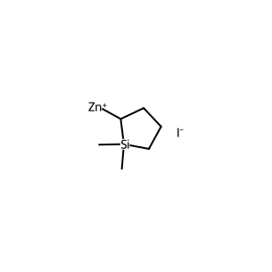 C[Si]1(C)CCC[CH]1[Zn+].[I-]